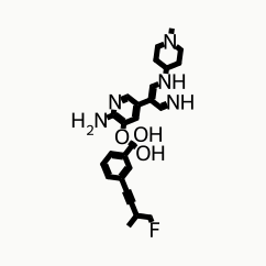 CC(C#Cc1cccc(C(O)(O)Oc2cc(/C(C=N)=C/NC3CCN(C)CC3)cnc2N)c1)CF